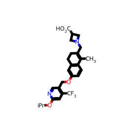 CC1=C(CN2CC(C(=O)O)C2)CCc2cc(OCc3cnc(OC(C)C)cc3C(F)(F)F)ccc21